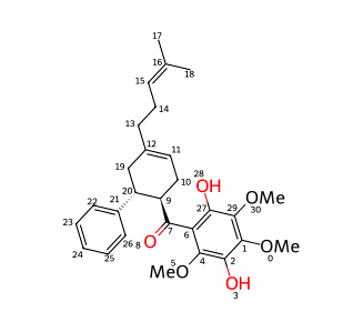 COc1c(O)c(OC)c(C(=O)[C@@H]2CC=C(CCC=C(C)C)C[C@H]2c2ccccc2)c(O)c1OC